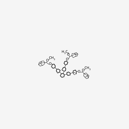 CCOC(COc1ccc(-c2ccc(-c3cccc(-c4ccc(-c5ccc(OCC(OCC)C67CC8CC(CC(C8)C6)C7)cc5)cc4)c3-c3ccc(-c4ccc(OCC(OCC)C56CC7CC(CC(C7)C5)C6)cc4)cc3)cc2)cc1)C12CC3CC(CC(C3)C1)C2